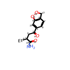 CCC(CC(=O)c1ccc2c(c1)OOC2)C(N)=O